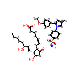 CCCCC[C@H](O)/C=C/[C@H]1[C@H](O)CC(=O)[C@@H]1C/C=C\CCCC(=O)O.CCOc1ccc(-c2cc(C)cn2-c2ccc(S(N)(=O)=O)cc2)cc1